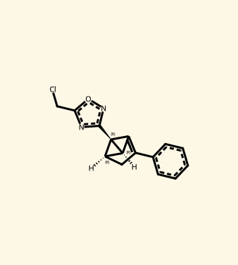 ClCc1nc([C@]23C4=C(c5ccccc5)C[C@@H]2[C@H]43)no1